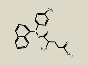 Cc1ccc(B(OC(=O)C(N)CCC(N)=O)c2cccc3ccccc23)cc1